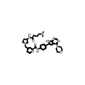 CN(C)CCCC(=O)NC1CCN(Cc2ccnc(C(=O)Nc3ccc(-c4cc5c(N6CCOCC6)ncnc5[nH]4)cc3)c2)C1